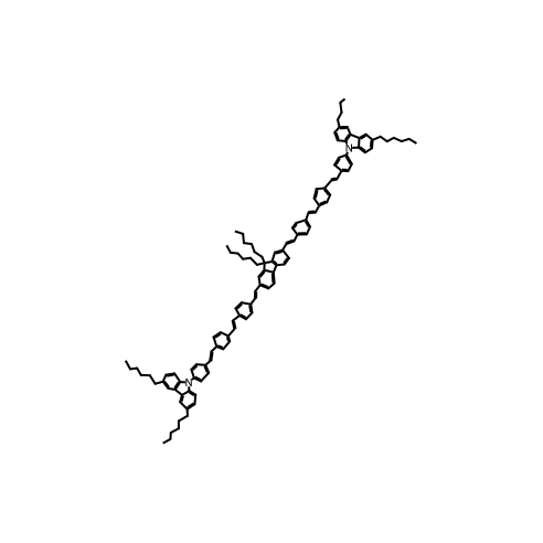 CCCCCCc1ccc2c(c1)c1cc(CCCC)ccc1n2-c1ccc(/C=C/c2ccc(/C=C/c3ccc(/C=C/c4ccc5c(c4)C(CCCCCC)(CCCCCC)c4cc(/C=C/c6ccc(/C=C/c7ccc(/C=C/c8ccc(-n9c%10ccc(CCCCCC)cc%10c%10cc(CCCCCC)ccc%109)cc8)cc7)cc6)ccc4-5)cc3)cc2)cc1